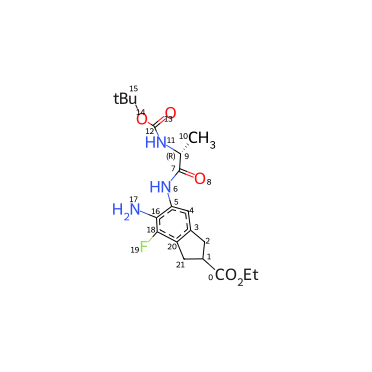 CCOC(=O)C1Cc2cc(NC(=O)[C@@H](C)NC(=O)OC(C)(C)C)c(N)c(F)c2C1